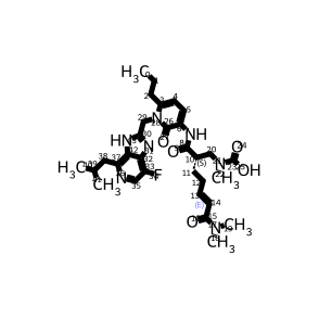 CCCc1ccc(NC(=O)[C@@H](CC/C=C/C(=O)N(C)C)CN(C)C(=O)O)c(=O)n1Cc1nc2c(F)cnc(CC(C)C)c2[nH]1